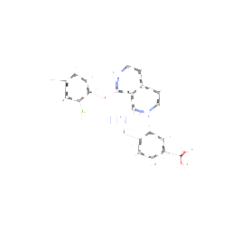 C[C@H](Nc1nccc2ccnc(Oc3ccc(F)cc3F)c12)c1ccc(C(=O)O)cc1